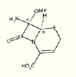 CO[C@@]1(N)C(=O)N2C(C(=O)O)=CCS[C@@H]21